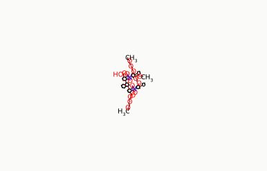 CCOCCOCCOC(=O)c1ccc(-c2ccc(-c3ccc(C(=O)O)c4c3C(=O)N(c3ccc(C5=CC=CC5)c(OCCOCCOCC)c3)C4=O)c3ccccc23)c2c1C(=O)N(c1ccc(C3=CC=CC3)c(OCCOCCOCC)c1)C2=O